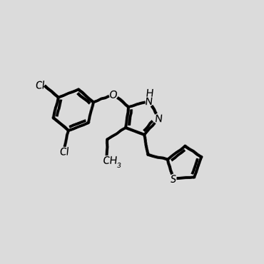 CCc1c(Cc2cccs2)n[nH]c1Oc1cc(Cl)cc(Cl)c1